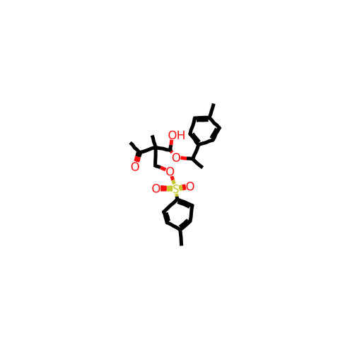 CC(=O)C(C)(COS(=O)(=O)c1ccc(C)cc1)C(O)OC(C)c1ccc(C)cc1